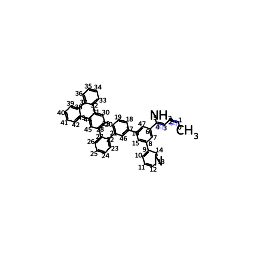 C/C=C\C=C(/N)c1cc(-c2cccnc2)cc(-c2cccc(-c3ccccc3-c3ccc4c5ccccc5c5ccccc5c4c3)c2)c1